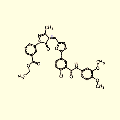 CCOC(=O)c1cccc(N2N=C(C)/C(=C/c3ccc(-c4ccc(Cl)c(C(=O)Nc5ccc(OC)c(OC)c5)c4)o3)C2=O)c1